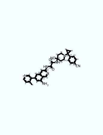 Cc1ccncc1-c1cc(N)c2cnc(NC(=O)C(=O)NC3(C#N)CCN(C4(c5ccc(C#N)cc5)CC4)CC3)cc2c1